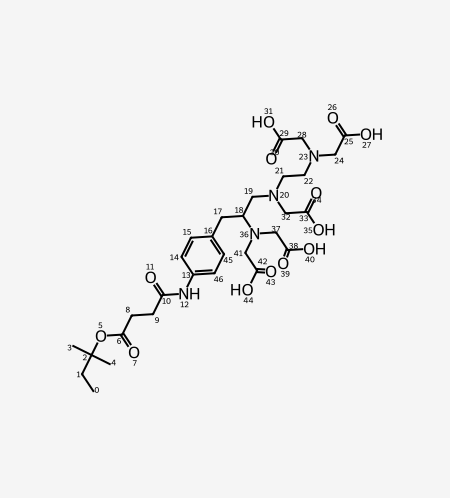 CCC(C)(C)OC(=O)CCC(=O)Nc1ccc(CC(CN(CCN(CC(=O)O)CC(=O)O)CC(=O)O)N(CC(=O)O)CC(=O)O)cc1